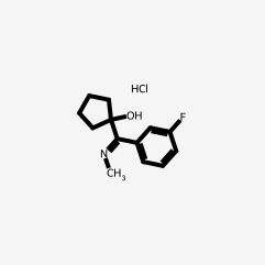 CN=C(c1cccc(F)c1)C1(O)CCCC1.Cl